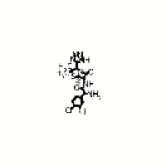 CC1(C)S[C@@H]2C(NC(=O)C(N)c3ccc(Cl)c(Cl)c3)C(=O)N2C1c1nnn[nH]1